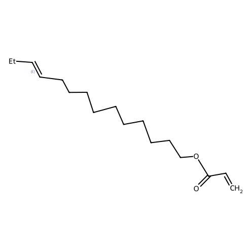 C=CC(=O)OCCCCCCCCCC/C=C/CC